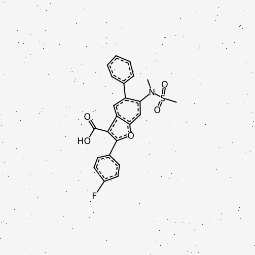 CN(c1cc2oc(-c3ccc(F)cc3)c(C(=O)O)c2cc1-c1ccccc1)S(C)(=O)=O